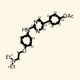 CCN(CC)CCOc1ccc(Nc2ncc(-c3ccc(OC(C)=O)cc3)cn2)cc1